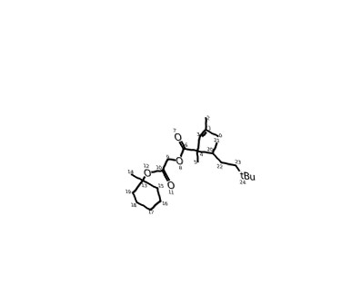 CC(C)=CC(C)(C(=O)OCC(=O)OC1(C)CCCCC1)C(C)CCC(C)(C)C